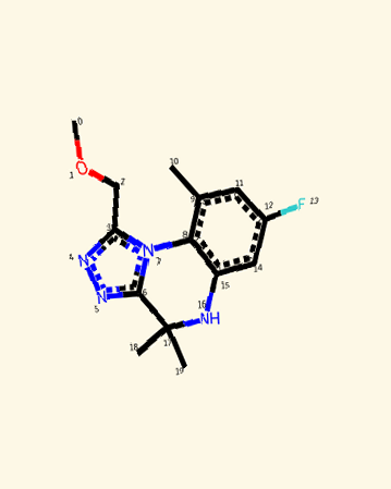 COCc1nnc2n1-c1c(C)cc(F)cc1NC2(C)C